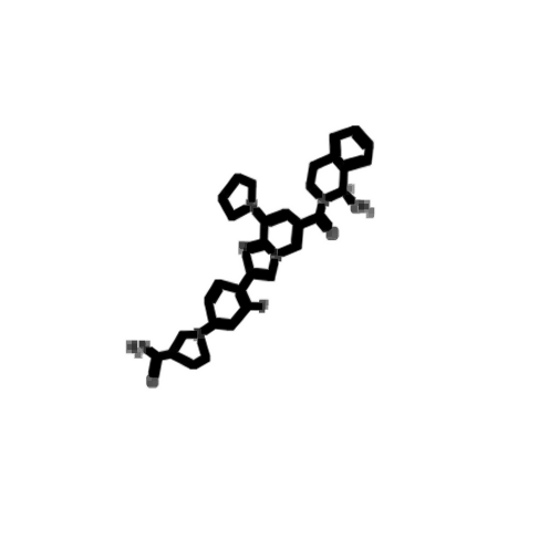 C[C@@H]1c2ccccc2CCN1C(=O)c1cc(N2CCCC2)c2nc(-c3ccc(N4CCC(C(N)=O)C4)cc3F)cn2c1